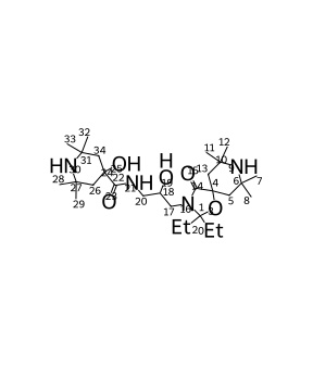 CCC1(CC)OC2(CC(C)(C)NC(C)(C)C2)C(=O)N1CC(O)CNC(=O)C1(O)CC(C)(C)NC(C)(C)C1